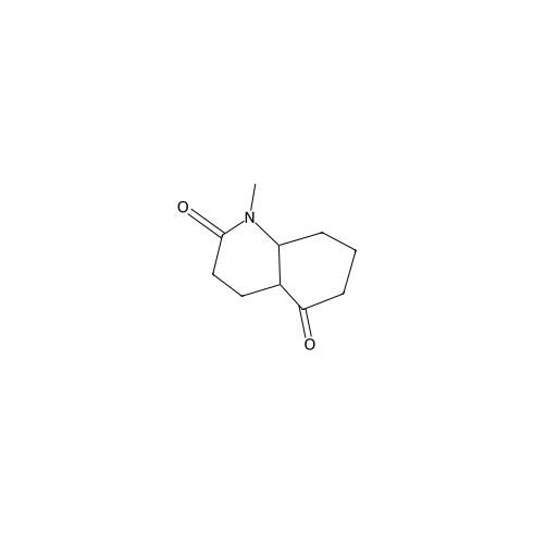 CN1C(=O)CCC2C(=O)CCCC21